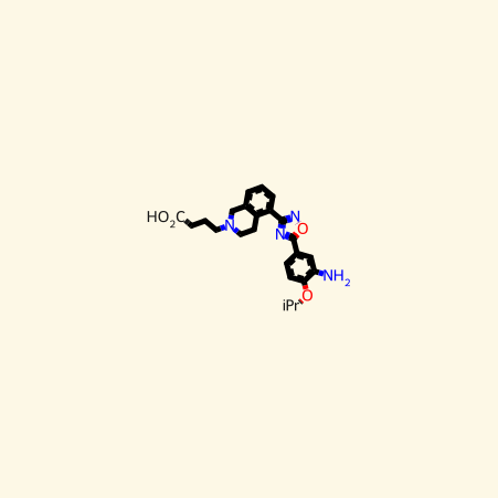 CC(C)Oc1ccc(-c2nc(-c3cccc4c3CCN(CCCC(=O)O)C4)no2)cc1N